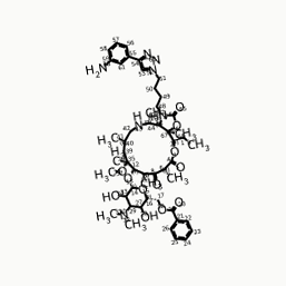 CC[C@H]1OC(=O)[C@H](C)C(=O)[C@H](C)[C@@H](O[C@@H]2O[C@H](COC(=O)c3ccccc3)C(O)C(N(C)C)C2O)[C@](C)(OC)C[C@@H](C)CN[C@H](C)[C@H]2N(CCCCn3cc(-c4cccc(N)c4)nn3)C(=O)O[C@]12C